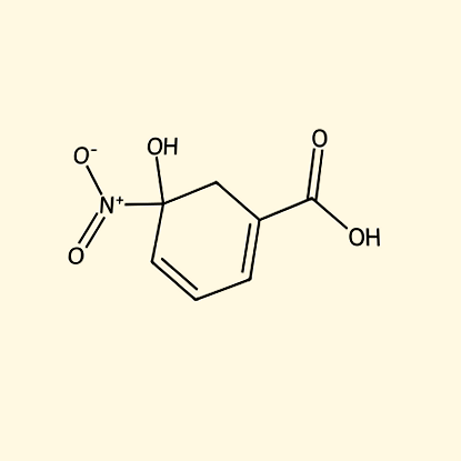 O=C(O)C1=CC=CC(O)([N+](=O)[O-])C1